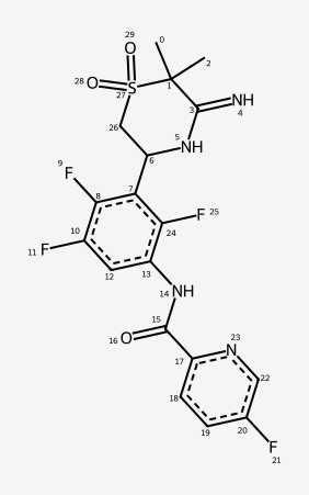 CC1(C)C(=N)NC(c2c(F)c(F)cc(NC(=O)c3ccc(F)cn3)c2F)CS1(=O)=O